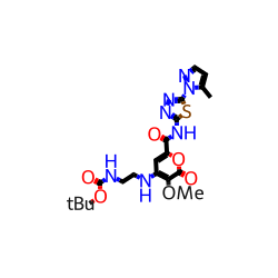 COc1c(NCCNC(=O)OC(C)(C)C)cc(C(=O)Nc2nnc(-n3nccc3C)s2)oc1=O